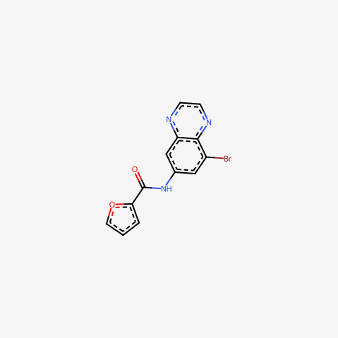 O=C(Nc1cc(Br)c2nccnc2c1)c1ccco1